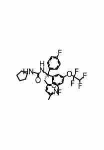 Cc1cc(C[C@](NC(=O)NC2CCCC2)(c2ccc(F)cc2)c2cc(F)cc(OC(F)(F)C(F)F)c2)on1